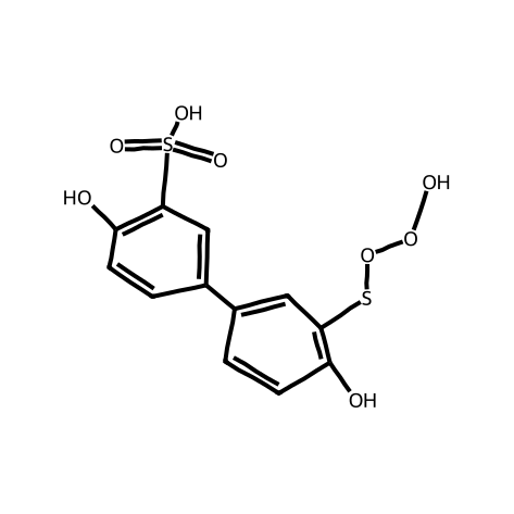 O=S(=O)(O)c1cc(-c2ccc(O)c(SOOO)c2)ccc1O